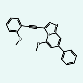 COc1ccccc1C#Cc1cnc2cc(-c3ccccc3)cc(OC)n12